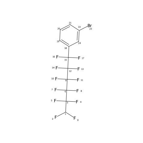 FC(F)C(F)(F)C(F)(F)C(F)(F)C(F)(F)C(F)(F)c1cccc(Br)c1